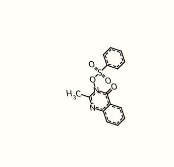 Cc1nc2ccccc2c(=O)n1OS(=O)(=O)c1ccccc1